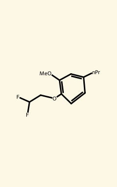 CCCc1ccc(OCC(F)F)c(OC)c1